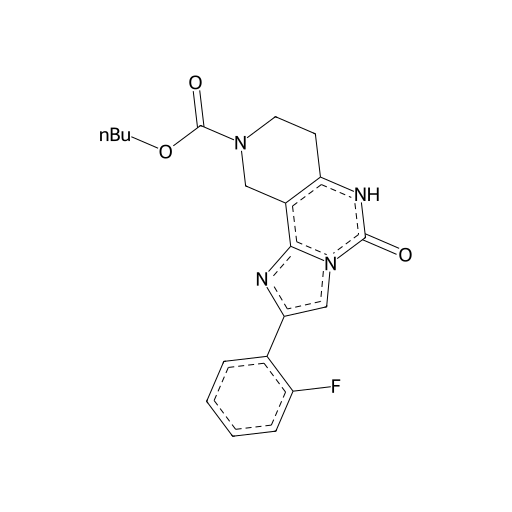 CCCCOC(=O)N1CCc2[nH]c(=O)n3cc(-c4ccccc4F)nc3c2C1